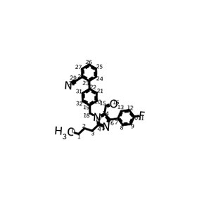 CCCCc1nc(-c2ccc(F)cc2)c(C=O)n1Cc1ccc(-c2ccccc2C#N)cc1